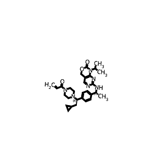 C=CC(=O)N1CCN([C@H](CC2CC2)c2ccc([C@H](C)Nc3ncc4c(n3)N(C(C)C)C(=O)OC4)cc2)CC1